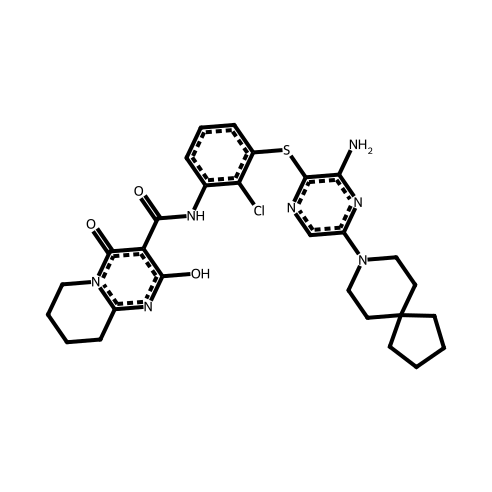 Nc1nc(N2CCC3(CCCC3)CC2)cnc1Sc1cccc(NC(=O)c2c(O)nc3n(c2=O)CCCC3)c1Cl